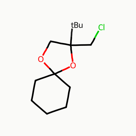 CC(C)(C)C1(CCl)COC2(CCCCC2)O1